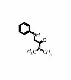 CN(C)C(=O)CNc1ccccc1